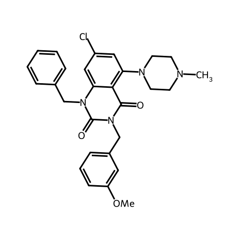 COc1cccc(Cn2c(=O)c3c(N4CCN(C)CC4)cc(Cl)cc3n(Cc3ccccc3)c2=O)c1